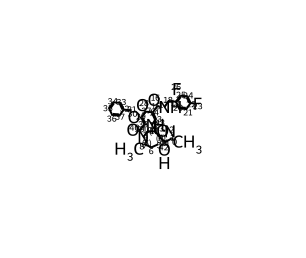 CC1=NO[C@@]2(CC[C@H](C)N3C[C@H]2n2cc(C(=O)NCc4ccc(F)cc4F)c(=O)c(OCc4ccccc4)c2C3=O)[C@H]1O